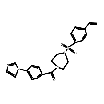 C=Cc1ccc(S(=O)(=O)N2CCN(C(=O)c3ccc(-n4ccnc4)cc3)CC2)cc1